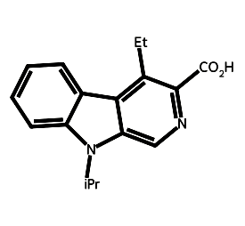 CCc1c(C(=O)O)ncc2c1c1ccccc1n2C(C)C